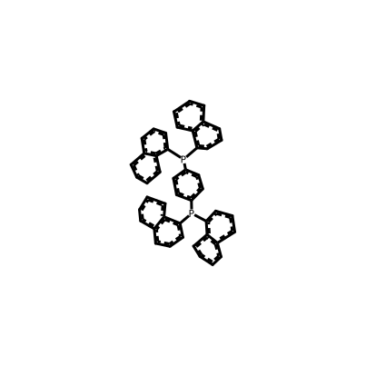 c1ccc2c(P(c3ccc(P(c4cccc5ccccc45)c4cccc5ccccc45)cc3)c3cccc4ccccc34)cccc2c1